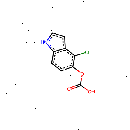 O=C(O)Oc1ccc2[nH]ccc2c1Cl